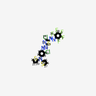 Fc1c(F)c(F)c(N=Nc2sc(/N=N/c3ccc(N(c4cccs4)c4cccs4)cc3Cl)nc2Cl)c(F)c1F